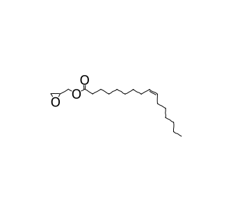 CCCCCC/C=C\CCCCCCCC(=O)OCC1CO1